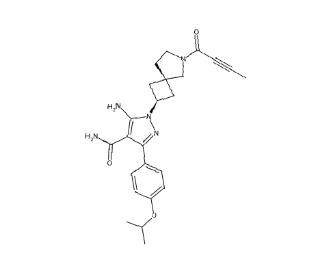 CC#CC(=O)N1CC[C@]2(C1)C[C@H](n1nc(-c3ccc(OC(C)C)cc3)c(C(N)=O)c1N)C2